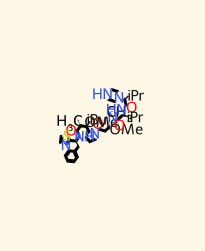 CC[C@H](C)[C@@H](C(CC(=O)N1CCC[C@H]1[C@H](OC)[C@@H](C)C(=O)N[C@@H](Cc1ccccc1)c1nccs1)OC)N(C)C(=O)[C@@H](NC(=O)[C@H](C(C)C)N1CCNCC1)C(C)C